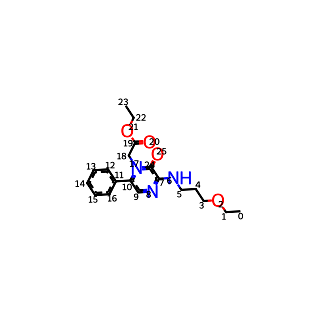 CCOCCCNc1ncc(-c2ccccc2)n(CC(=O)OCC)c1=O